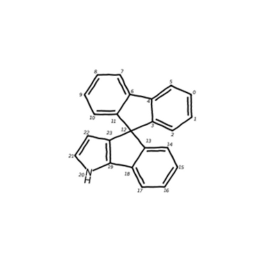 c1ccc2c(c1)-c1ccccc1C21c2ccccc2-c2[nH]ccc21